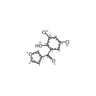 O=C(c1cnoc1)c1cc(Cl)cc(Cl)c1O